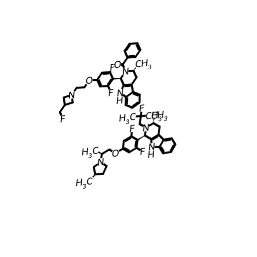 C[C@@H]1CCN([C@@H](C)COc2cc(F)c([C@@H]3c4[nH]c5ccccc5c4C[C@@H](C)N3CC(C)(C)F)c(F)c2)C1.C[C@@H]1Cc2c([nH]c3ccccc23)[C@@H](c2c(F)cc(OCCN3CC(CF)C3)cc2F)N1C(=O)c1ccccc1